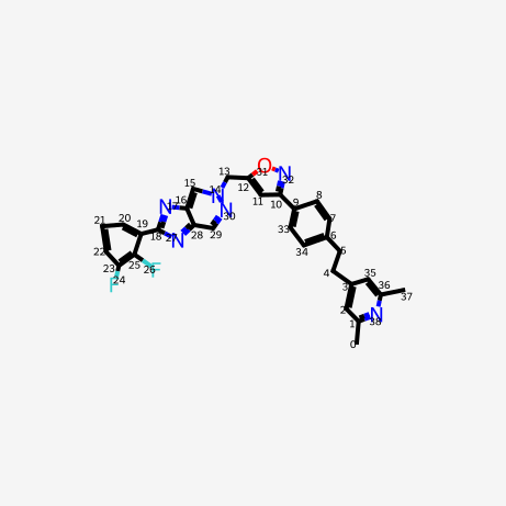 Cc1cc(CCc2ccc(-c3cc(Cn4cc5nc(-c6cccc(F)c6F)nc-5cn4)on3)cc2)cc(C)n1